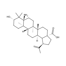 C=C(C)[C@@H]1CC[C@]2(C(=O)O)CC[C@]3(C)[C@H](CC[C@@H]4[C@@]5(C)CC[C@H](O)C(C)(C)[C@]5(N)CC[C@]43C)C12